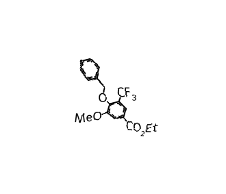 CCOC(=O)c1cc(OC)c(OCc2ccccc2)c(C(F)(F)F)c1